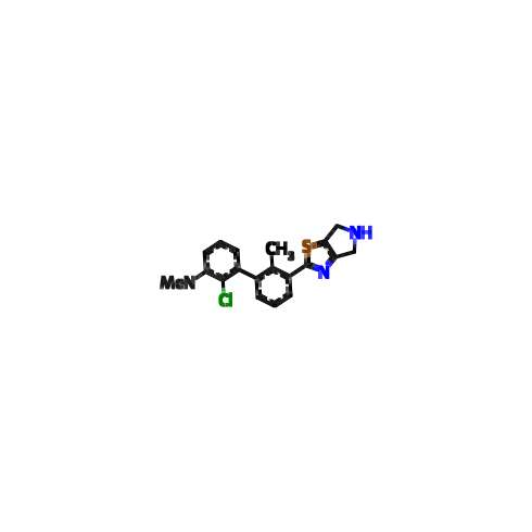 CNc1cccc(-c2cccc(-c3nc4c(s3)CNC4)c2C)c1Cl